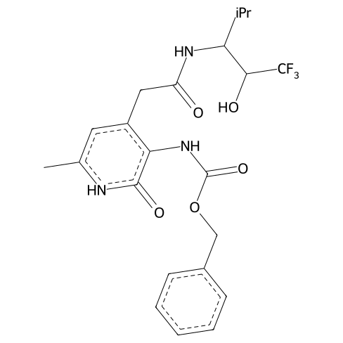 Cc1cc(CC(=O)NC(C(C)C)C(O)C(F)(F)F)c(NC(=O)OCc2ccccc2)c(=O)[nH]1